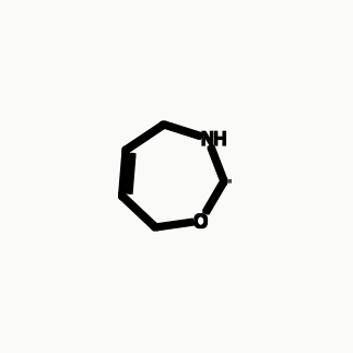 [CH]1NCC=CCO1